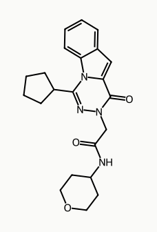 O=C(Cn1nc(C2CCCC2)n2c(cc3ccccc32)c1=O)NC1CCOCC1